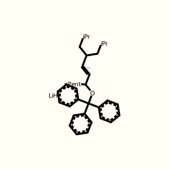 CCCCCC(/C=C/C(CC(C)C)CC(C)C)OC(c1ccccc1)(c1ccccc1)c1ccccc1.[LiH]